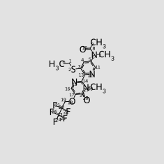 CCSc1cc(N(C)C(C)=O)cnc1-c1ncc(OCC(F)(F)C(F)(F)F)c(=O)n1C